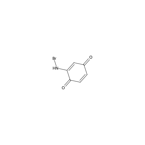 O=C1C=CC(=O)C(NBr)=C1